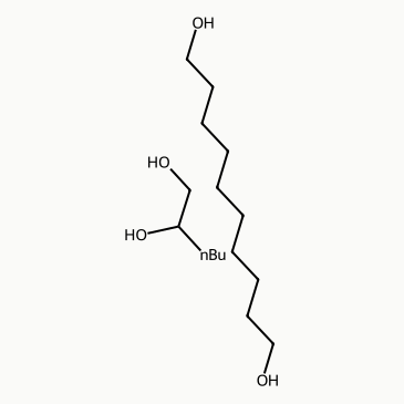 CCCCC(O)CO.OCCCCCCCCCCO